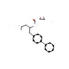 C[C@H](CC(Cc1ccc(-c2ccccc2)cc1)NC(=O)[C@@H]1O[C@@H]1C(=O)O)C(=O)O